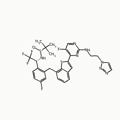 CC(C)(C)[S+]([O-])N[C@H](c1ccc(F)cc1Cc1cccc2cc(-c3nc(NCCn4ccnn4)ncc3F)sc12)C(F)(F)F